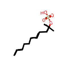 CCCCCCCCCC(C)(C)OS(=O)(=O)O